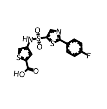 O=C(O)c1cc(NS(=O)(=O)c2cnc(-c3ccc(F)cc3)s2)cs1